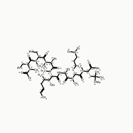 C/C=C/C[C@@H](C)[C@@H](O)[C@@H](C(=O)N[C@@H](CC)C(=O)N(C)[C@H](SCCCN(CC)CC)C(=O)N(C)[C@@H](CC(C)(C)OC)C(N)=O)N(C)C(=O)[C@H](C(C)C)N(C)C(=O)[C@H](CC(C)C)N(C)C(=O)[C@H](CC(C)C)N(C)C(=O)CC